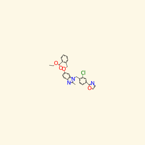 CCOC(=O)c1ccccc1COc1ccc2nc(C)n(Cc3ccc(-c4ncco4)cc3Cl)c2c1